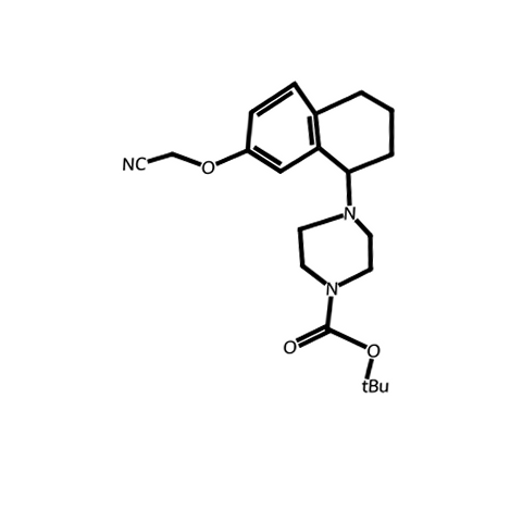 CC(C)(C)OC(=O)N1CCN(C2CCCc3ccc(OCC#N)cc32)CC1